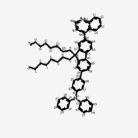 CCCCCCCCC1(CCCCCCCC)c2cc(-c3ccc(N(c4ccccc4)c4ccccc4)cc3)ccc2-c2ccc(-c3ccnc4ccccc34)cc21